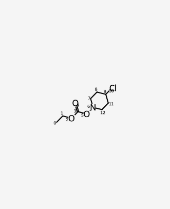 CCOC(=O)ON1CCC(Cl)CC1